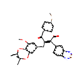 COc1cc(CC(C(=O)c2ccc(SC)cc2)=C(C(=O)[O-])c2ccc3nsnc3c2)cc(OC(C)C)c1OC(C)C.[Na+]